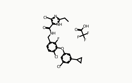 CCc1nc(Cl)c(C(=O)NCc2ccc(Cl)c(Oc3cc(Cl)cc(C4CC4)c3)c2F)[nH]1.O=C(O)C(F)(F)F